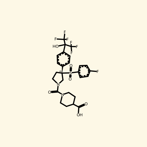 O=C(O)C1CCN(C(=O)N2CC[C@](c3ccc(C(O)(C(F)(F)F)C(F)(F)F)cc3)(S(=O)(=O)c3ccc(F)cc3)C2)CC1